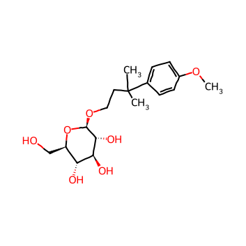 COc1ccc(C(C)(C)CCO[C@@H]2O[C@H](CO)[C@@H](O)[C@H](O)[C@H]2O)cc1